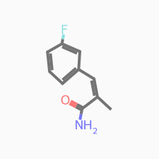 CC(=Cc1cccc(F)c1)C(N)=O